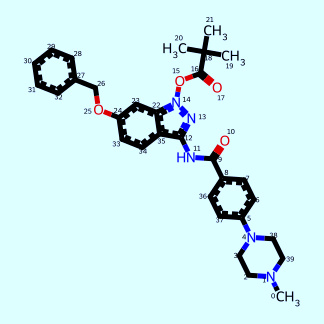 CN1CCN(c2ccc(C(=O)Nc3nn(OC(=O)C(C)(C)C)c4cc(OCc5ccccc5)ccc34)cc2)CC1